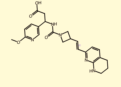 COc1ccc(C(CC(=O)O)NC(=O)N2CC(/C=C/c3ccc4c(n3)NCCC4)C2)cn1